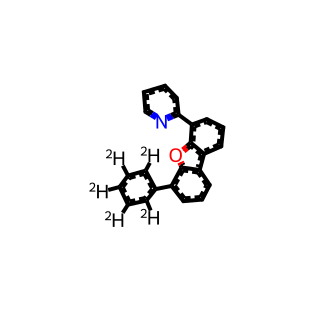 [2H]c1c([2H])c([2H])c(-c2cccc3c2oc2c(-c4ccccn4)cccc23)c([2H])c1[2H]